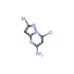 CCc1cc2nc(N)cc(Cl)n2n1